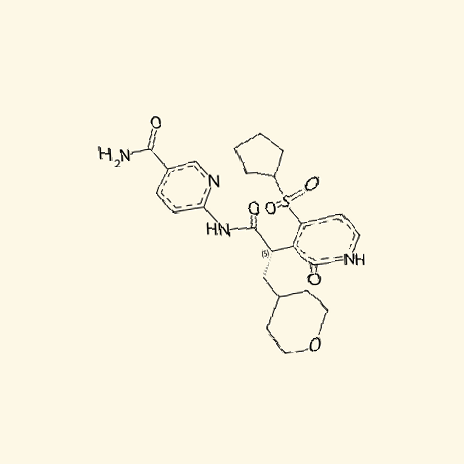 NC(=O)c1ccc(NC(=O)[C@@H](CC2CCOCC2)c2c(S(=O)(=O)C3CCCC3)cc[nH]c2=O)nc1